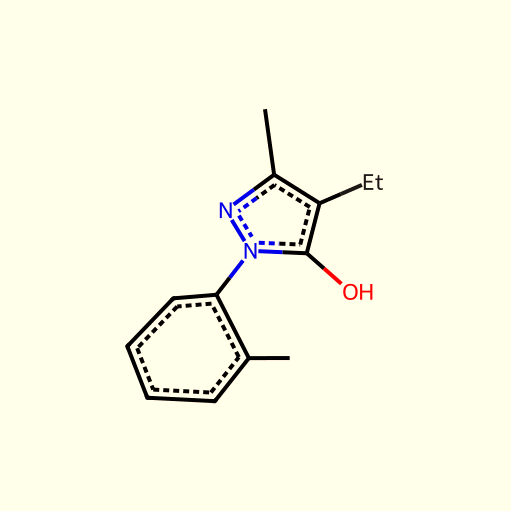 CCc1c(C)nn(-c2ccccc2C)c1O